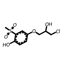 CS(=O)(=O)c1cc(OCC(O)CCl)ccc1O